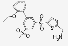 CCOc1ccccc1-c1cc(S(C)(=O)=O)cc(S(=O)(=O)c2ccc(CN)s2)c1